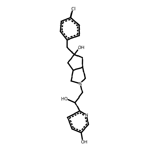 Oc1ccc(C(O)CN2CC3CC(O)(Cc4ccc(Cl)cc4)CC3C2)nc1